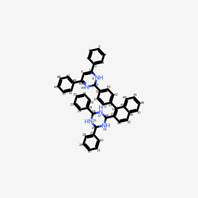 C1=C(c2ccccc2)NC(c2ccc(-c3c(C4NC(c5ccccc5)NC(c5ccccc5)N4)ccc4ccccc34)cc2)N=C1c1ccccc1